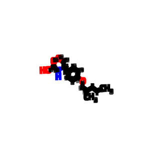 CCCC(C)COc1ccc([C@H](C=O)NC(=O)O)cc1